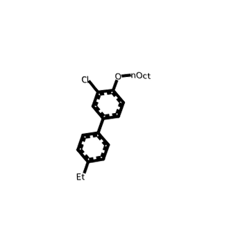 CCCCCCCCOc1ccc(-c2ccc(CC)cc2)cc1Cl